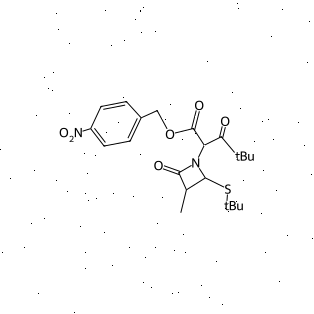 CC1C(=O)N(C(C(=O)OCc2ccc([N+](=O)[O-])cc2)C(=O)C(C)(C)C)C1SC(C)(C)C